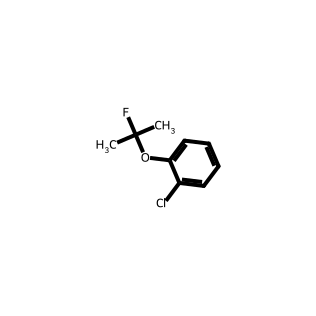 CC(C)(F)Oc1ccccc1Cl